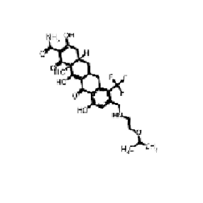 CC(C)OCCNCc1cc(O)c2c(c1C(F)(F)F)CC1C[C@H]3CC(O)=C(C(N)=O)C(=O)[C@@]3(O)C(O)=C1C2=O